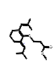 CC(C)=CC1=C(SCCC(=O)OI)/C(=C/C(C)C)CCC1